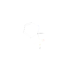 CS(=O)(=O)C1(C(F)(F)F)C=CC=CN1